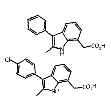 Cc1[nH]c2c(CC(=O)O)cccc2c1-c1ccc(Cl)cc1.Cc1[nH]c2c(CC(=O)O)cccc2c1-c1ccccc1